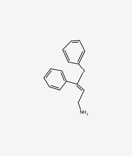 NCC=C(Sc1ccccc1)c1ccccc1